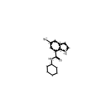 O=C(NC1CCCCC1)c1cc(Br)cc2cc[nH]c12